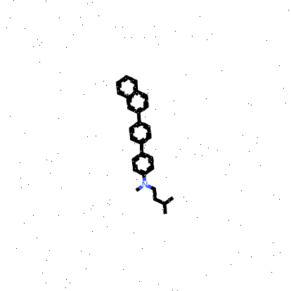 CC(C)CCN(C)c1ccc(-c2ccc(-c3ccc4ccccc4c3)cc2)cc1